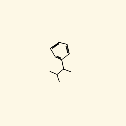 ClC(Cl)C([SeH])c1ccccc1